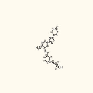 CN1CCC(c2cnc(-c3cnc(N)c(OCc4cccc(C#CC(C)(C)O)c4)c3)s2)CC1